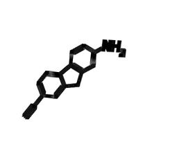 C#Cc1ccc2c(c1)Cc1cc(N)ccc1-2